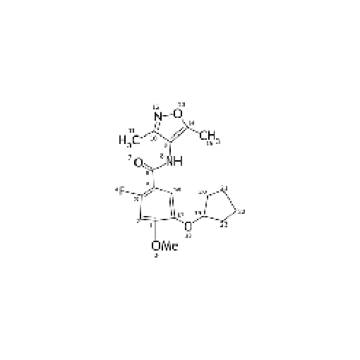 COc1cc(F)c(C(=O)Nc2c(C)noc2C)cc1OC1CCCC1